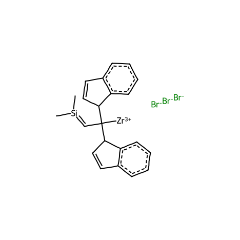 C[Si](C)=C[C]([Zr+3])(C1C=Cc2ccccc21)C1C=Cc2ccccc21.[Br-].[Br-].[Br-]